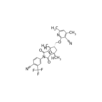 Cc1cc(C)c(C#N)c(OC[C@@H]2C[C@@]3(C)O[C@]2(C)[C@@H]2C(=O)N(c4ccc(C#N)c(C(F)(F)F)c4)C(=O)[C@@H]23)n1